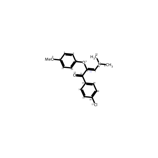 COc1ccc(O/C(=C\N(C)C)C(=O)c2ccc(Cl)cc2)cc1